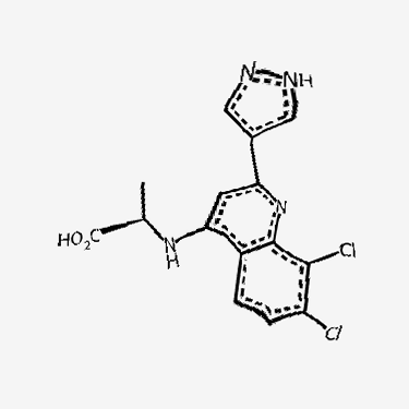 C[C@@H](Nc1cc(-c2cn[nH]c2)nc2c(Cl)c(Cl)ccc12)C(=O)O